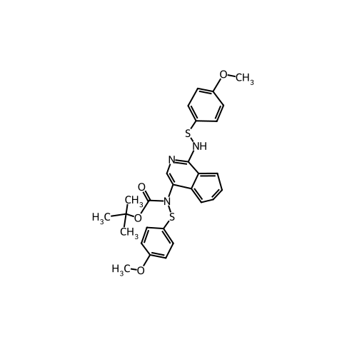 COc1ccc(SNc2ncc(N(Sc3ccc(OC)cc3)C(=O)OC(C)(C)C)c3ccccc23)cc1